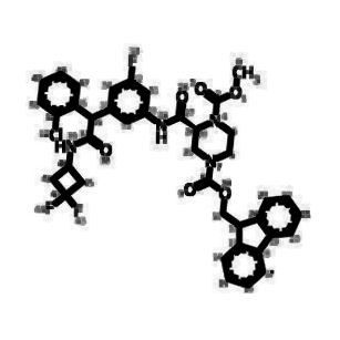 COC(=O)N1CCN(C(=O)OCC2c3ccccc3-c3ccccc32)C[C@H]1C(=O)Nc1cc(F)cc(C(C(=O)NC2CC(F)(F)C2)c2ccccc2Cl)c1